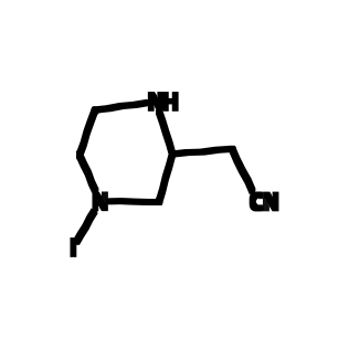 N#CCC1CN(I)CCN1